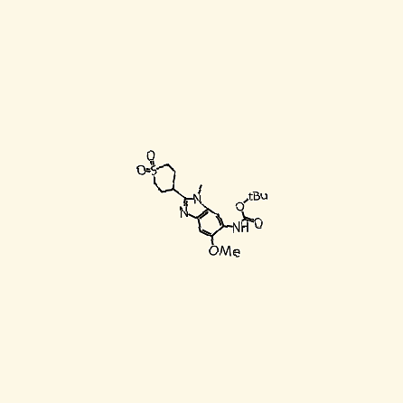 COc1cc2nc(C3CCS(=O)(=O)CC3)n(C)c2cc1NC(=O)OC(C)(C)C